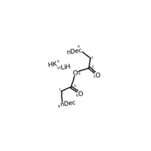 CCCCCCCCCCCC(=O)OC(=O)CCCCCCCCCCC.[KH].[LiH]